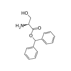 N[C@@H](CO)C(=O)OC(c1ccccc1)c1ccccc1